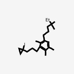 CCC(C)(C)CCCc1cc(C)c(C)c(CCCC2(I)CC2)c1C